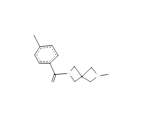 CC(=O)N1CC2(C1)CN(C(=O)c1ccc(C)cc1)C2